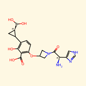 N[C@@H](C(=O)N1CC(Oc2ccc(C3C[C@H]3B(O)O)c(O)c2C(=O)O)C1)c1c[nH]cn1